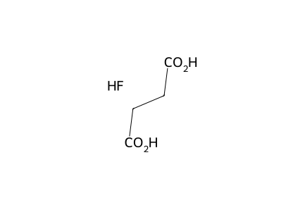 F.O=C(O)CCC(=O)O